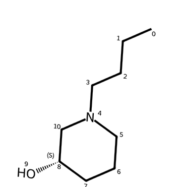 CCCCN1CCC[C@H](O)C1